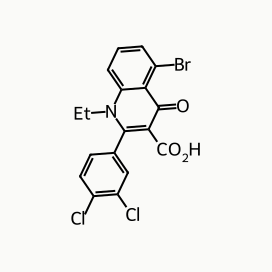 CCn1c(-c2ccc(Cl)c(Cl)c2)c(C(=O)O)c(=O)c2c(Br)cccc21